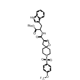 COC(=O)C(Cc1c[nH]c2ccccc12)NC(=O)C1=NOC2(CCN(S(=O)(=O)c3ccc(OC(F)(F)F)cc3)CC2)C1